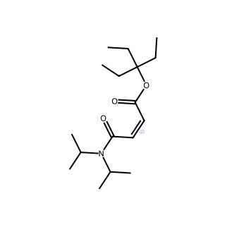 CCC(CC)(CC)OC(=O)/C=C\C(=O)N(C(C)C)C(C)C